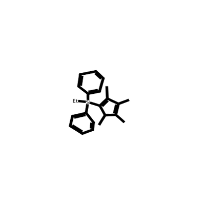 CC[Si](C1=C(C)C(C)=C(C)C1C)(c1ccccc1)c1ccccc1